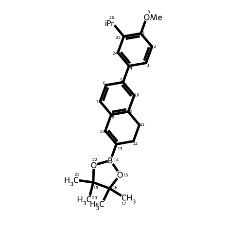 COc1ccc(-c2ccc3c(c2)CCC(B2OC(C)(C)C(C)(C)O2)=C3)cc1C(C)C